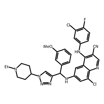 CCN1CCC(n2cc(C(Nc3cc(Cl)c4ncc(C#N)c(Nc5ccc(F)c(Cl)c5)c4c3)c3cccc(OC)c3)nn2)CC1